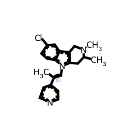 C/C(=C\n1c2c(c3cc(Cl)ccc31)CN(C)C(C)C2)c1ccncc1